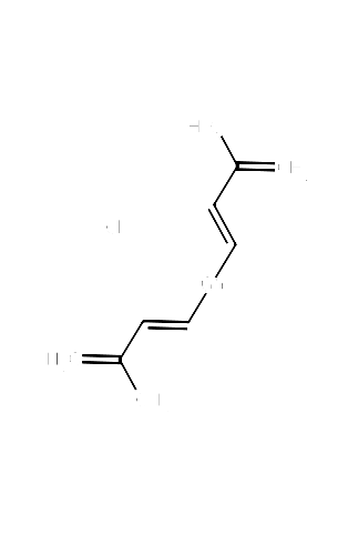 C=C(C)C=[CH][Ga+][CH]=CC(=C)C.[Cl-]